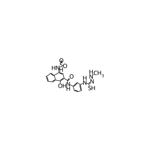 CN/N=C(/S)Nc1cccc(NC(=O)c2cc(N[SH](=O)=O)c3ccccc3c2O)c1